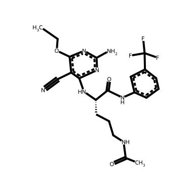 CCOc1nc(N)nc(N[C@@H](CCCNC(C)=O)C(=O)Nc2cccc(C(F)(F)F)c2)c1C#N